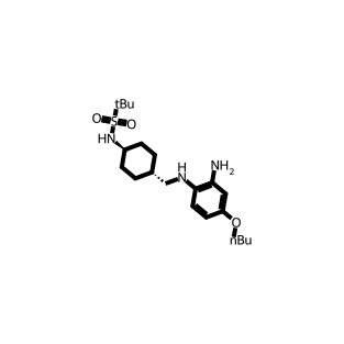 CCCCOc1ccc(NC[C@H]2CC[C@H](NS(=O)(=O)C(C)(C)C)CC2)c(N)c1